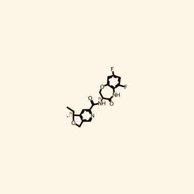 CC[C@]1(C)OCc2cnc(C(=O)N[C@H]3COc4cc(F)cc(F)c4NC3=O)cc21